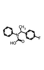 C[C@@H](c1ccc(F)cc1)N(C(=O)O)c1ccccc1